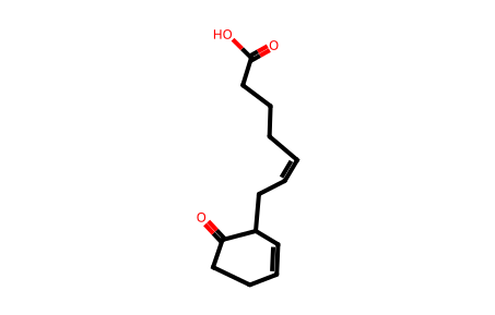 O=C(O)CCC/C=C\CC1C=CCCC1=O